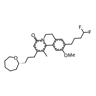 COc1cc2c(cc1CCCC(F)F)CCn1c-2c(C)c(CCC[C@@H]2CCCCCO2)cc1=O